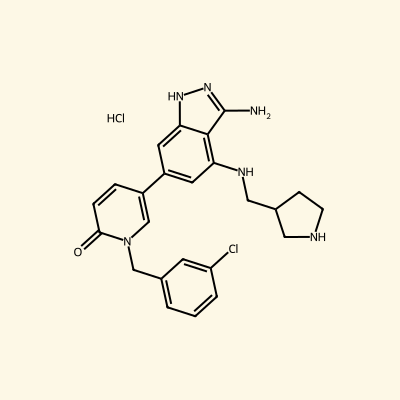 Cl.Nc1n[nH]c2cc(-c3ccc(=O)n(Cc4cccc(Cl)c4)c3)cc(NCC3CCNC3)c12